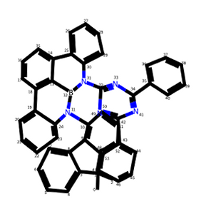 CC1(C)c2ccccc2-c2c(N3B4c5c(cccc5-c5ccccc53)-c3ccccc3N4c3nc(-c4ccccc4)nc(-c4ccccc4)n3)cccc21